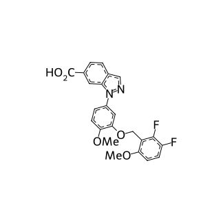 COc1ccc(-n2ncc3ccc(C(=O)O)cc32)cc1OCc1c(OC)ccc(F)c1F